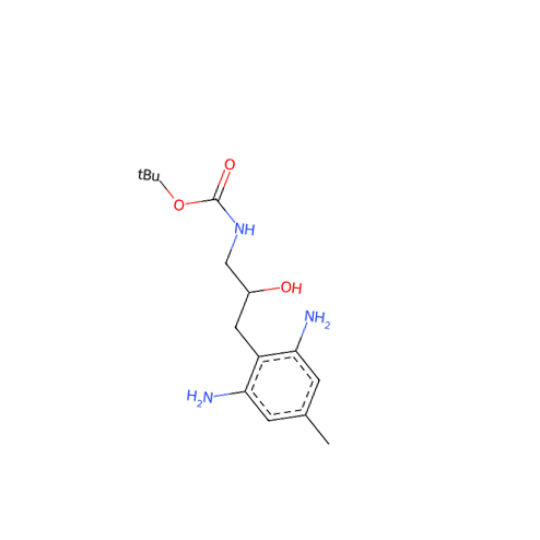 Cc1cc(N)c(CC(O)CNC(=O)OC(C)(C)C)c(N)c1